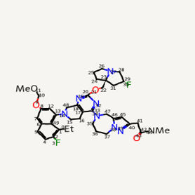 CCc1c(F)ccc2cc(OCOC)cc(N3CCc4c(nc(OC[C@@]56CCCN5C[C@H](F)C6)nc4N4CCCn5nc(CC(=O)NC)cc5C4)C3)c12